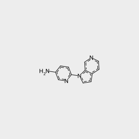 Nc1ccc(-n2ccc3ccncc32)nc1